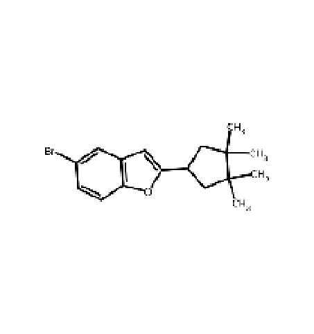 CC1(C)CC(c2cc3cc(Br)ccc3o2)CC1(C)C